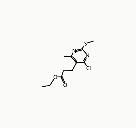 CCOC(=O)CCc1c(C)nc(SC)nc1Cl